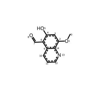 COc1cc(O)c(C=O)c2cccnc12